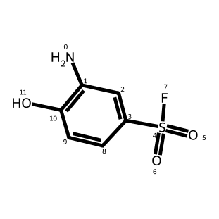 Nc1cc(S(=O)(=O)F)ccc1O